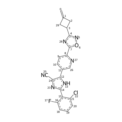 C=C1CC(c2noc(-c3ccc(-c4[nH]c(-c5c(F)cccc5Cl)nc4C#N)cn3)n2)C1